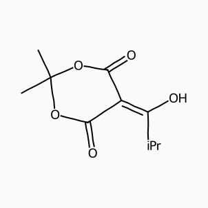 CC(C)C(O)=C1C(=O)OC(C)(C)OC1=O